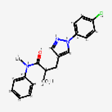 CCN(C(=O)C(Cc1cnn(-c2ccc(Cl)cc2)c1)C(=O)O)c1ccccc1